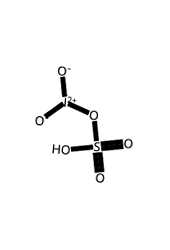 O=S(=O)(O)O[I+2]([O-])[O-]